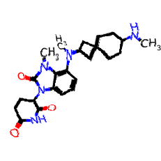 CNC1CCC2(CC1)CC(N(C)c1cccc3c1n(C)c(=O)n3C1CCC(=O)NC1=O)C2